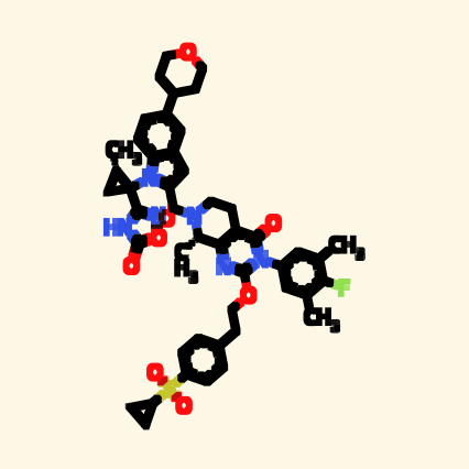 Cc1cc(-n2c(OCCc3ccc(S(=O)(=O)C4CC4)cc3)nc3c(c2=O)CCN(C(=O)c2cc4cc(C5CCOCC5)ccc4n2C2(c4noc(=O)[nH]4)C[C@@H]2C)[C@H]3C)cc(C)c1F